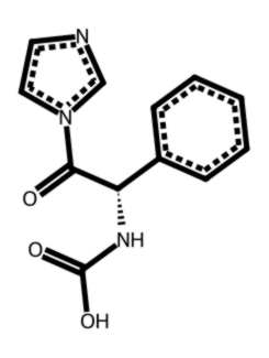 O=C(O)N[C@H](C(=O)n1ccnc1)c1ccccc1